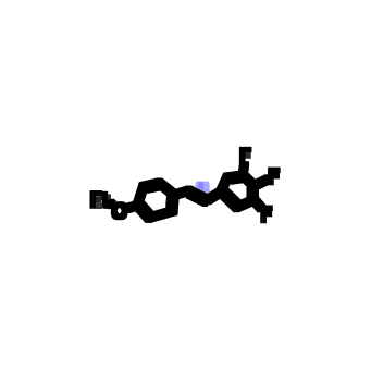 CCOc1ccc(/C=C/c2cc(F)c(F)c(F)c2)cc1